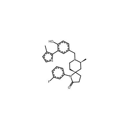 Cc1ccsc1-c1cc(CN2CC[C@]3(CCC(=O)N3c3cccc(F)c3)C[C@@H]2C)ccc1O